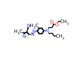 CCCCN(CCC(=O)OCC)c1ccc(/N=N/c2snc(C)c2C#N)c(C)c1